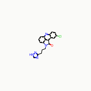 O=C1c2c3cc(Cl)ccc3nc3cccc(c23)N1CCCc1nc[nH]n1